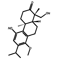 COc1c(C(C)C)cc(O)c2c1CC[C@H]1[C@@](C)(CO)C(=O)CC[C@]21C